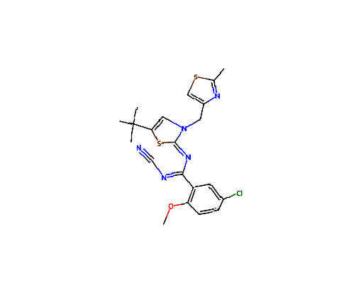 COc1ccc(Cl)cc1C(=NC#N)N=c1sc(C(C)(C)C)cn1Cc1csc(C)n1